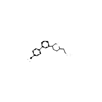 CCCC1CCC(c2cccc(-c3ccc(C#N)cc3)c2)CO1